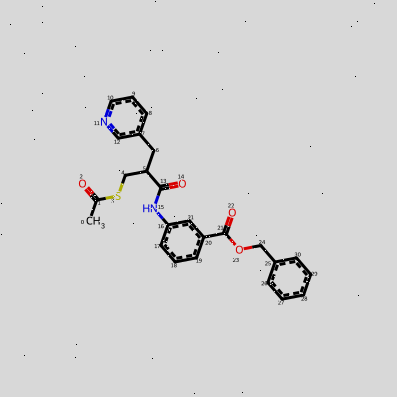 CC(=O)SCC(Cc1cccnc1)C(=O)Nc1cccc(C(=O)OCc2ccccc2)c1